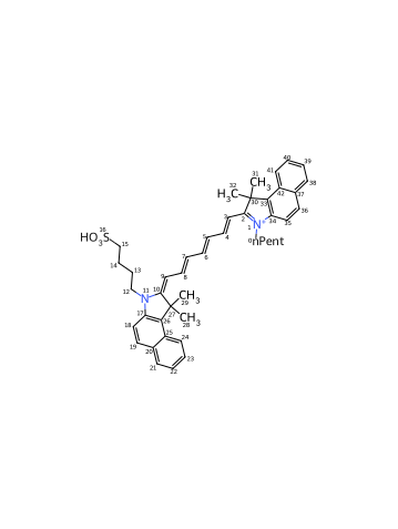 CCCCC[N+]1=C(/C=C/C=C/C=C/C=C2/N(CCCCS(=O)(=O)O)c3ccc4ccccc4c3C2(C)C)C(C)(C)c2c1ccc1ccccc21